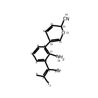 C/C(I)=C(/Br)c1cccc(C2=COC(C#N)C=C2)c1N